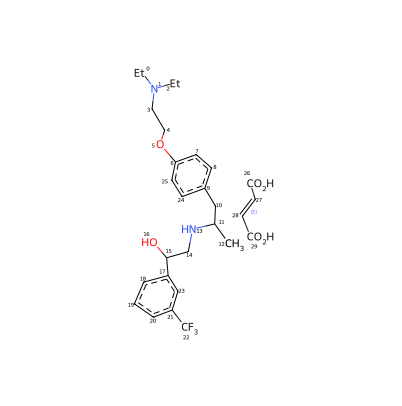 CCN(CC)CCOc1ccc(CC(C)NCC(O)c2cccc(C(F)(F)F)c2)cc1.O=C(O)/C=C/C(=O)O